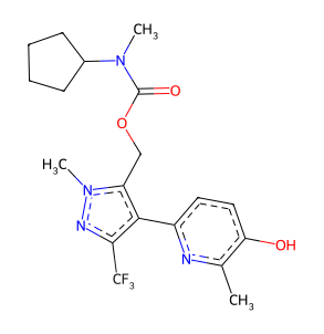 Cc1nc(-c2c(C(F)(F)F)nn(C)c2COC(=O)N(C)C2CCCC2)ccc1O